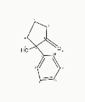 O=C1CCCC1(O)c1ccccc1